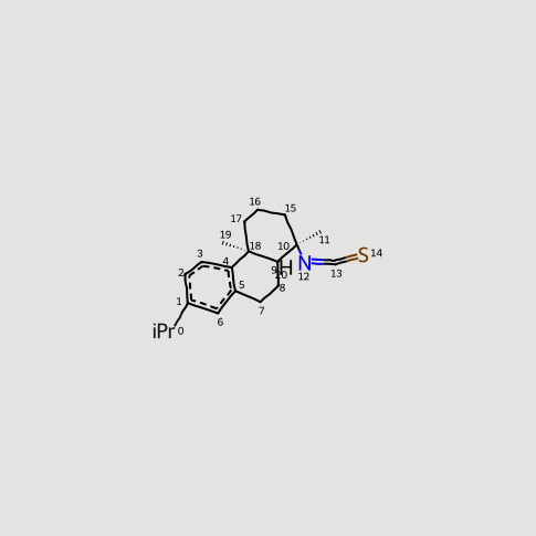 CC(C)c1ccc2c(c1)CC[C@H]1[C@](C)(N=C=S)CCC[C@]21C